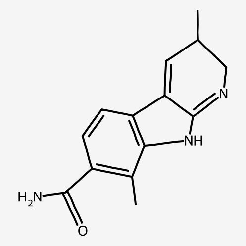 Cc1c(C(N)=O)ccc2c3c([nH]c12)=NCC(C)C=3